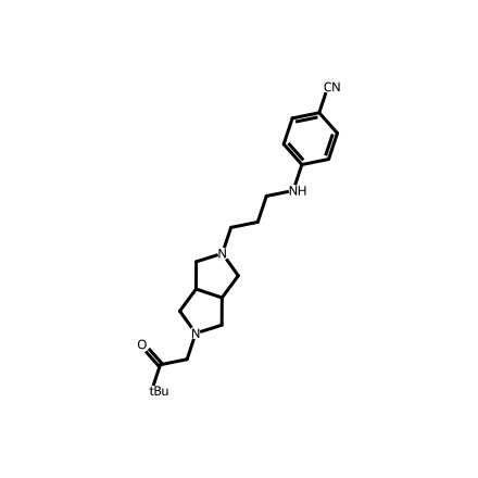 CC(C)(C)C(=O)CN1CC2CN(CCCNc3ccc(C#N)cc3)CC2C1